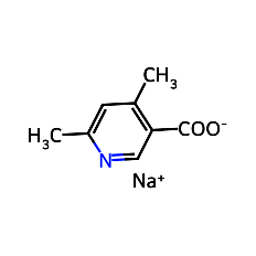 Cc1cc(C)c(C(=O)[O-])cn1.[Na+]